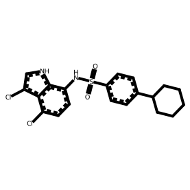 O=S(=O)(Nc1ccc(Cl)c2c(Cl)c[nH]c12)c1ccc(C2CCCCC2)cc1